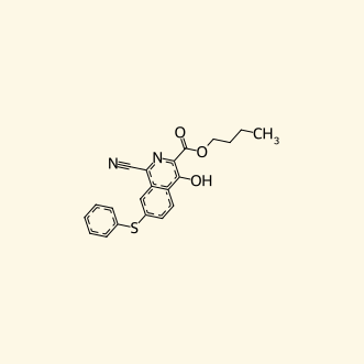 CCCCOC(=O)c1nc(C#N)c2cc(Sc3ccccc3)ccc2c1O